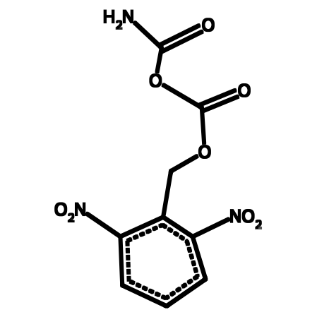 NC(=O)OC(=O)OCc1c([N+](=O)[O-])cccc1[N+](=O)[O-]